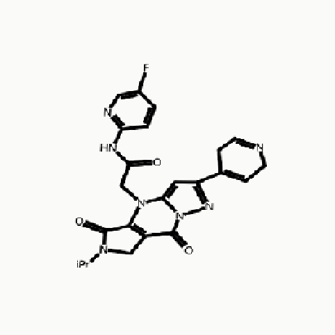 CC(C)N1Cc2c(n(CC(=O)Nc3ccc(F)cn3)c3cc(C4=CCN=CC4)nn3c2=O)C1=O